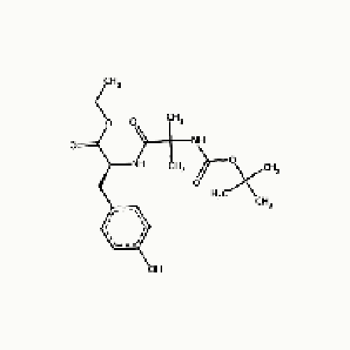 CCOC(=O)[C@H](Cc1ccc(O)cc1)NC(=O)C(C)(C)NC(=O)OC(C)(C)C